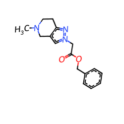 CN1CCc2nn(CC(=O)OCc3ccccc3)cc2C1